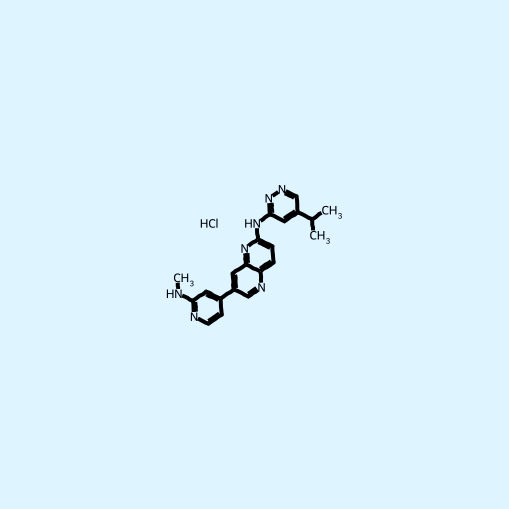 CNc1cc(-c2cnc3ccc(Nc4cc(C(C)C)cnn4)nc3c2)ccn1.Cl